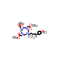 CCOc1ccc(/C=C/CC[C@@H](C(=O)O)N2CCN(CC(=O)OC(C)(C)C)CCN(CC(=O)OC(C)(C)C)CCN(CC(=O)OC(C)(C)C)CC2)cc1